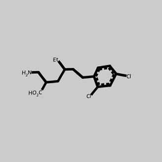 CCC(CCc1ccc(Cl)cc1Cl)CC(CN)C(=O)O